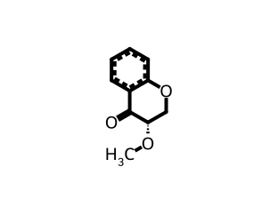 CO[C@H]1COc2ccccc2C1=O